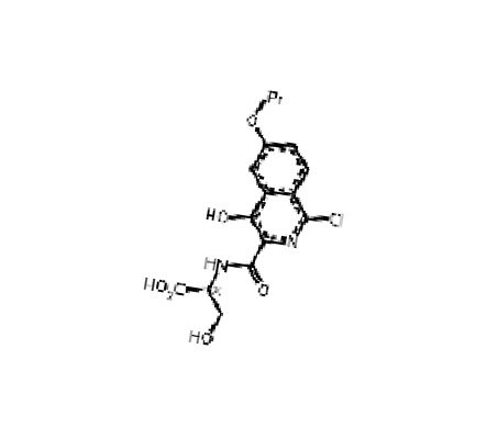 CC(C)Oc1ccc2c(Cl)nc(C(=O)N[C@@H](CO)C(=O)O)c(O)c2c1